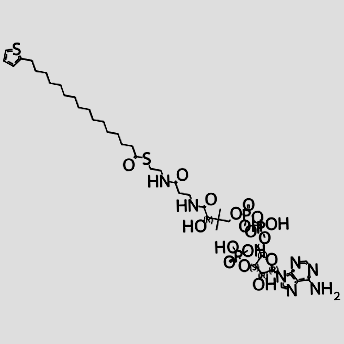 CC(C)(COP(=O)(O)OP(=O)(O)OC[C@H]1O[C@@H](n2cnc3c(N)ncnc32)[C@H](O)[C@@H]1OP(=O)(O)O)[C@@H](O)C(=O)NCCC(=O)NCCSC(=O)CCCCCCCCCCCCCCCc1cccs1